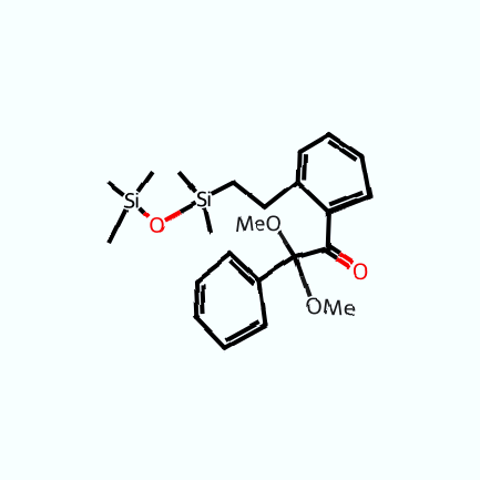 COC(OC)(C(=O)c1ccccc1CC[Si](C)(C)O[Si](C)(C)C)c1ccccc1